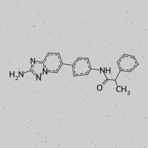 CC(C(=O)Nc1ccc(-c2ccc3nc(N)nn3c2)cc1)c1ccccc1